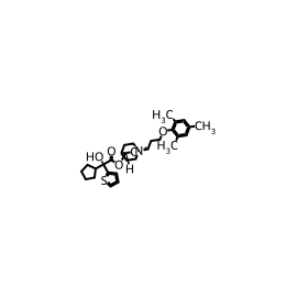 Cc1cc(C)c(OCCC[N+]23CCC(CC2)[C@@H](OC(=O)[C@](O)(c2cccs2)C2CCCC2)C3)c(C)c1